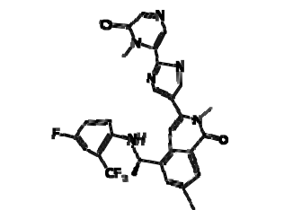 Cc1cc([C@@H](C)Nc2ccc(F)cc2C(F)(F)F)c2cc(-c3cnc(-c4cncc(=O)n4C)nc3)n(C)c(=O)c2c1